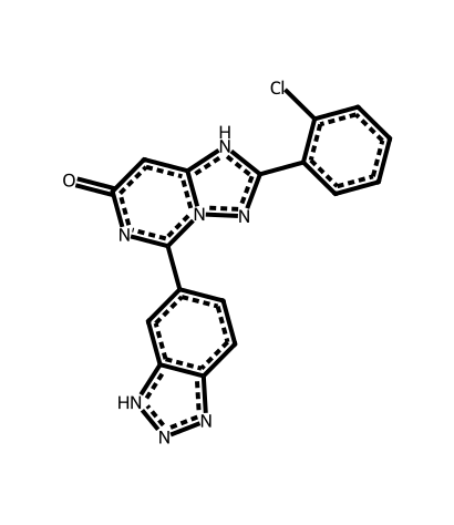 O=c1cc2[nH]c(-c3ccccc3Cl)nn2c(-c2ccc3nn[nH]c3c2)n1